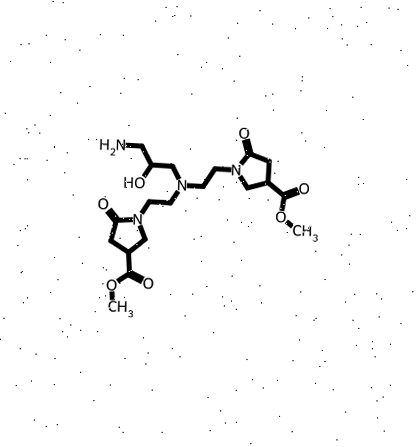 COC(=O)C1CC(=O)N(CCN(CCN2CC(C(=O)OC)CC2=O)CC(O)CN)C1